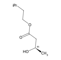 CC(C)CCOC(=O)C[C@@H](C)O